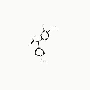 CC(=O)C(c1ccc(C)cc1)c1ccc(N)c(F)c1